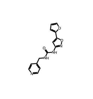 O=C(NCc1ccncc1)Nc1cc(-c2ccco2)on1